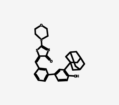 O=C1N=C(N2CCOCC2)SC1=Cc1cccc(-c2ccc(O)c(C34CC5CC(CC(C5)C3)C4)c2)c1